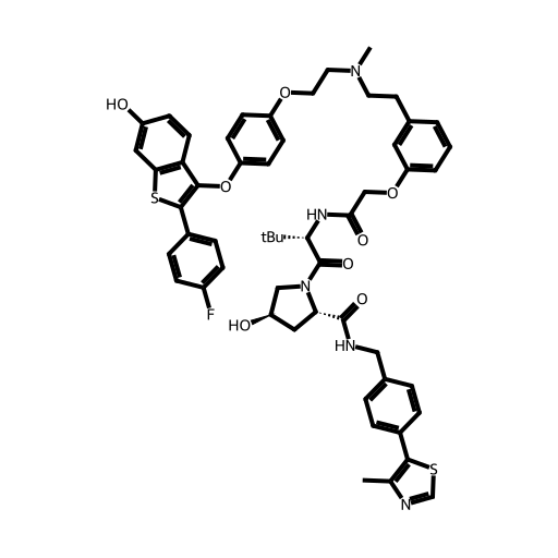 Cc1ncsc1-c1ccc(CNC(=O)[C@@H]2C[C@@H](O)CN2C(=O)[C@@H](NC(=O)COc2cccc(CCN(C)CCOc3ccc(Oc4c(-c5ccc(F)cc5)sc5cc(O)ccc45)cc3)c2)C(C)(C)C)cc1